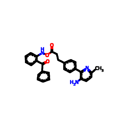 Cc1ccc(N)c(-c2ccc(CCC(=O)ONc3ccccc3C(=O)c3ccccc3)cc2)n1